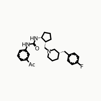 CC(=O)c1cccc(NC(=O)N[C@@H]2CCC[C@@H]2CN2CCC[C@@H](Cc3ccc(F)cc3)C2)c1